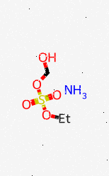 CCOS(=O)(=O)OCO.N